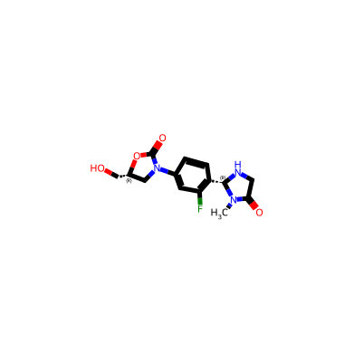 CN1C(=O)CN[C@H]1c1ccc(N2C[C@H](CO)OC2=O)cc1F